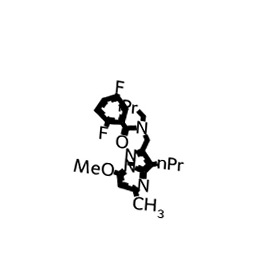 CCCc1c(CN(CC(C)C)C(=O)c2cc(F)ccc2F)nn2c(OC)cc(C)nc12